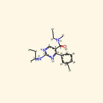 CCC(C)Nc1ncc(C(=O)N(C)CC)c(-c2cccc(C)c2)n1